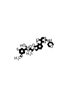 COc1cc(F)cc([C@@H](CO)NC(=O)C(C)N2Cc3ccc(-c4nc(NC5CCOCC5)ncc4Cl)c(F)c3C2=O)c1